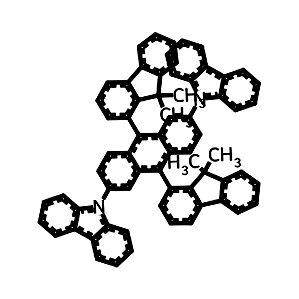 CC1(C)c2ccccc2-c2cccc(-c3c4ccc(-n5c6ccccc6c6ccccc65)cc4c(-c4cccc5c4C(C)(C)c4ccccc4-5)c4ccc(-n5c6ccccc6c6ccccc65)cc34)c21